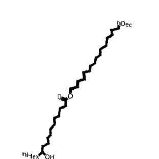 CCCCCCCCCCCCCCCCCCCCCCCCCCOC(=O)CCCCCCCCCCC(O)CCCCCC